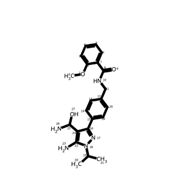 COc1ccccc1C(=O)NCc1ccc(-c2nn(C(C)C)c(N)c2C(N)O)cc1